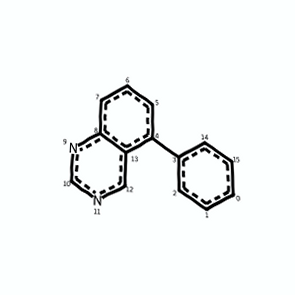 c1ccc(-c2cccc3ncncc23)cc1